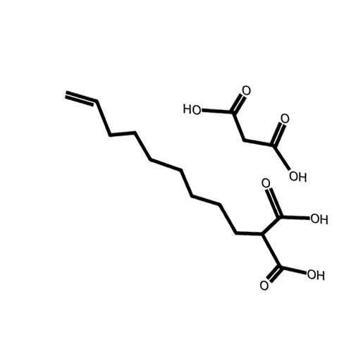 C=CCCCCCCCC(C(=O)O)C(=O)O.O=C(O)CC(=O)O